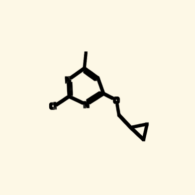 Cc1cc(OCC2CC2)nc(Cl)n1